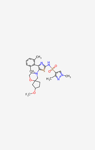 Cc1cccc(C)c1-c1nc(NS(=O)(=O)c2cn(C)nc2C)sc1N1CCOC2(CCC(OC(F)(F)F)C2)C1